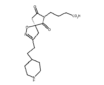 O=C(O)CCCN1C(=O)C[C@@]2(CC(CCC3CCNCC3)=NO2)C1=O